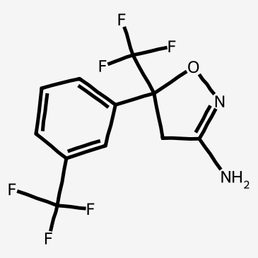 NC1=NOC(c2cccc(C(F)(F)F)c2)(C(F)(F)F)C1